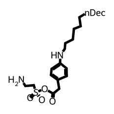 CCCCCCCCCCCCCCCCNc1ccc(CC(=O)OS(=O)(=O)CCN)cc1